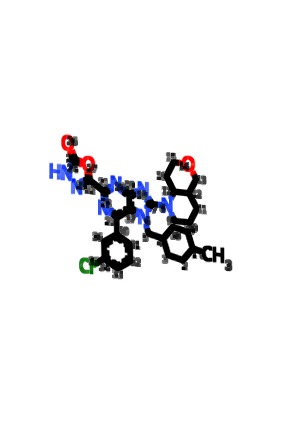 CC1CCC(Cn2c(N3CCCC4COCCC43)nc3nc(-c4n[nH]c(=O)o4)nc(-c4cccc(Cl)c4)c32)CC1